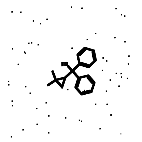 CC1(C)CC1C(O)(c1ccccc1)c1ccccc1